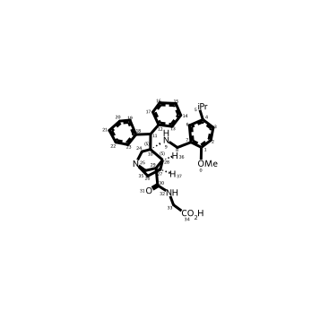 COc1ccc(C(C)C)cc1CN[C@@]1(C(c2ccccc2)c2ccccc2)CN2CC[C@H]1[C@@H](C(=O)NCC(=O)O)C2